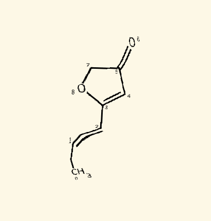 C/C=C/C1=CC(=O)CO1